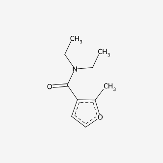 CCN(CC)C(=O)c1ccoc1C